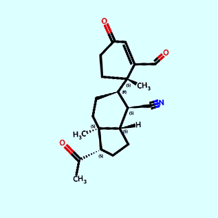 CC(=O)[C@H]1CC[C@H]2[C@H](C#N)[C@H]([C@]3(C)CCC(=O)C=C3C=O)CC[C@]12C